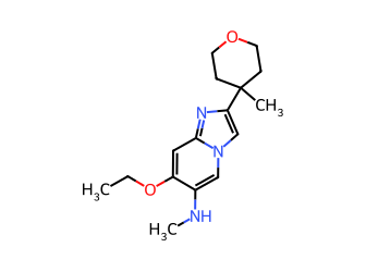 CCOc1cc2nc(C3(C)CCOCC3)cn2cc1NC